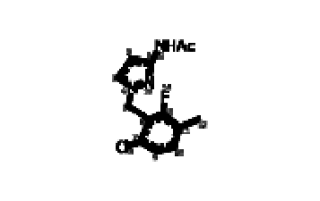 CC(=O)Nc1ccn(Cc2c(Cl)ccc(C)c2F)n1